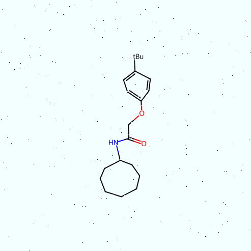 CC(C)(C)c1ccc(OCC(=O)NC2CCCCCCC2)cc1